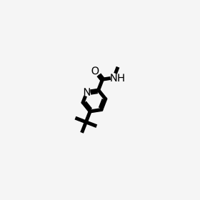 CNC(=O)c1ccc(C(C)(C)C)cn1